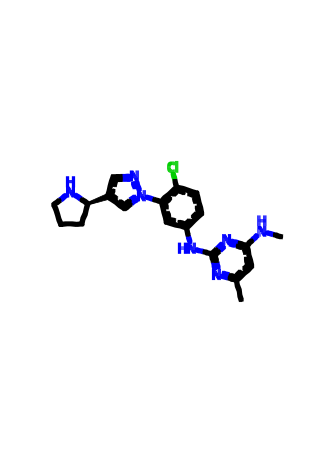 CNc1cc(C)nc(Nc2ccc(Cl)c(-n3cc([C@H]4CCCN4)cn3)c2)n1